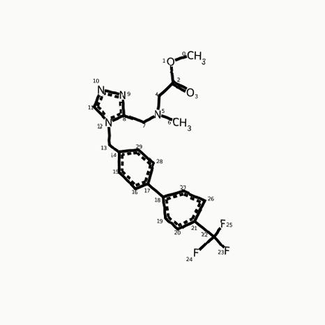 COC(=O)CN(C)Cc1nncn1Cc1ccc(-c2ccc(C(F)(F)F)cc2)cc1